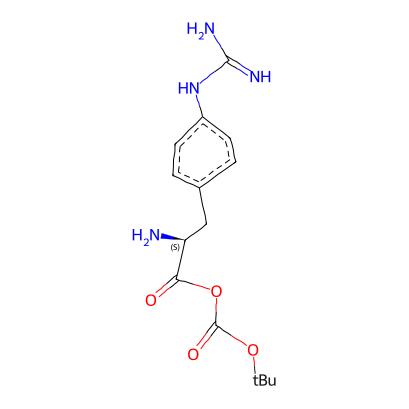 CC(C)(C)OC(=O)OC(=O)[C@@H](N)Cc1ccc(NC(=N)N)cc1